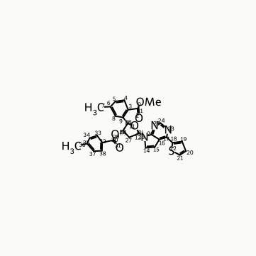 COC(=O)c1ccc(C)cc1[C@H]1O[C@@H](n2ccc3c(-c4cccs4)ncnc32)C[C@@H]1OC(=O)c1ccc(C)cc1